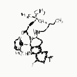 CCCCN[C@H]1Cc2c([nH]c3c(F)cc(F)cc23)[C@H](c2nccn2C)N1C(=O)C#C[Si](C)(C)C